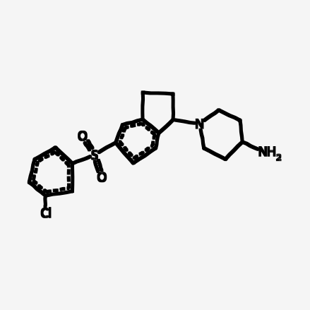 NC1CCN(C2CCc3cc(S(=O)(=O)c4cccc(Cl)c4)ccc32)CC1